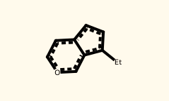 [CH2]Cc1ccc2ccocc1-2